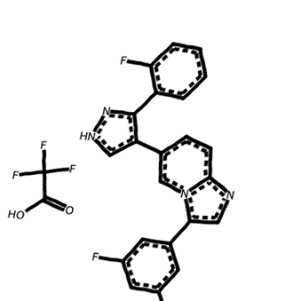 Fc1cc(F)cc(-c2cnc3ccc(-c4c[nH]nc4-c4ccccc4F)cn23)c1.O=C(O)C(F)(F)F